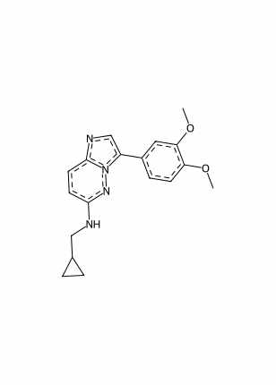 COc1ccc(-c2cnc3ccc(NCC4CC4)nn23)cc1OC